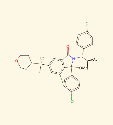 CC[C@@](C)(c1cc(F)c2c(c1)C(=O)N([C@H](c1ccc(Cl)cc1)[C@H](C)C(C)=O)C2(OC)c1ccc(Cl)cc1)C1CCOCC1